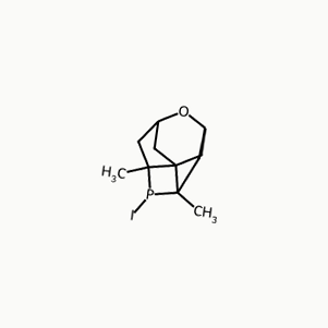 CC12CC3CC14CC(CC4(C)P2I)O3